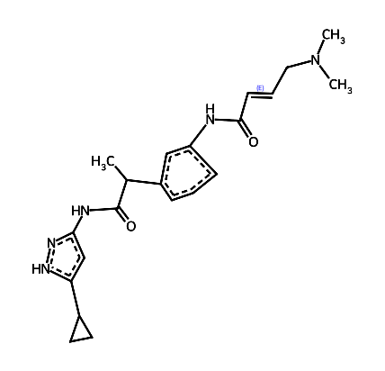 CC(C(=O)Nc1cc(C2CC2)[nH]n1)c1cccc(NC(=O)/C=C/CN(C)C)c1